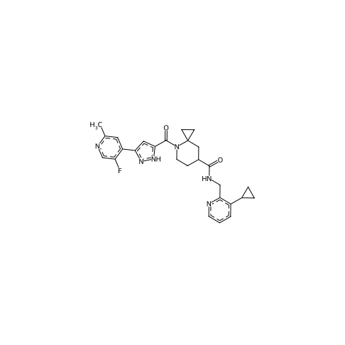 Cc1cc(-c2cc(C(=O)N3CCC(C(=O)NCc4ncccc4C4CC4)CC34CC4)[nH]n2)c(F)cn1